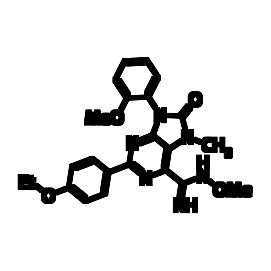 CCOc1ccc(-c2nc(C(=N)NOC)c3c(n2)n(-c2ccccc2OC)c(=O)n3C)cc1